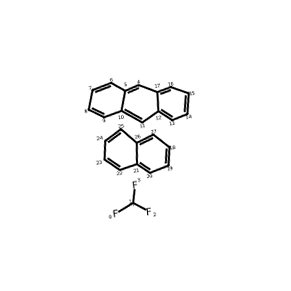 F[C](F)F.[c]1c2ccccc2cc2ccccc12.c1ccc2ccccc2c1